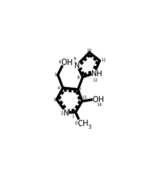 Cc1ncc(CO)c(-c2ncc[nH]2)c1O